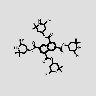 CC(C)C1CC(OC(=O)c2cc(C(=O)OC3CC(C(C)C)NC(C)(C)C3)c3cc(C(=O)OC4CC(C(C)C)NC(C)(C)C4)cc(C(=O)OC4CC(C(C)C)NC(C)(C)C4)c3c2)CC(C)(C)N1